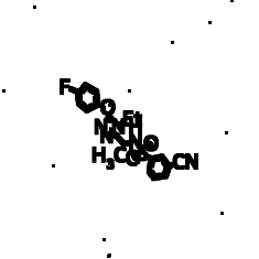 CCn1c(Oc2ccc(F)cc2)nnc1[C@@H](C)NS(=O)(=O)c1cccc(C#N)c1